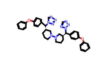 c1ccc(Oc2ccc(C([C@H]3CCCN(N4CCC[C@H](C(c5ccc(Oc6ccccc6)cc5)n5ncnn5)C4)C3)n3cnnn3)cc2)cc1